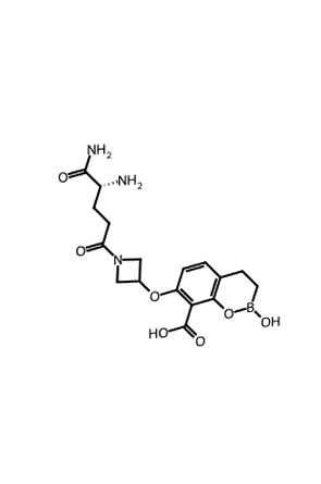 NC(=O)[C@H](N)CCC(=O)N1CC(Oc2ccc3c(c2C(=O)O)OB(O)CC3)C1